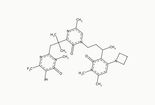 Cc1cn(CCC(C)c2c(N3CCC3)cc(C)n(C)c2=O)c(=O)c(C(C)(C)Cc2nc(C(F)(F)F)c(C(C)C)c(=O)n2C)n1